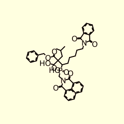 CC(C)CC(C(=O)O)(C(=O)OCc1ccccc1)C(CCCCCN1C(=O)c2ccccc2C1=O)P(=O)(O)CN1C(=O)c2cccc3cccc(c23)C1=O